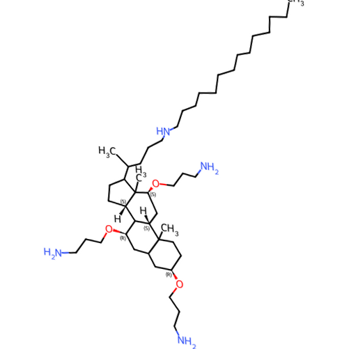 CCCCCCCCCCCCCCNCCCC(C)C1CC[C@H]2C3[C@H](OCCCN)CC4C[C@H](OCCCN)CCC4(C)[C@H]3C[C@H](OCCCN)C12C